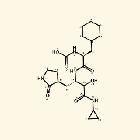 O=C(O)N[C@@H](CC1CCCCC1)C(=O)N[C@@H](CC1CCNC1=O)C(O)C(=O)NC1CC1